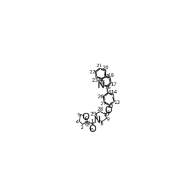 O=C([C@H]1CCCO1)N1CCC(Oc2ccc(-c3ccc4ccccc4n3)cc2)CC1